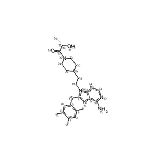 Cc1cc(C)c(Sc2nc3c(N)ncnc3n2CCC2CCN(C(=O)[C@H](C)O)CC2)cc1C